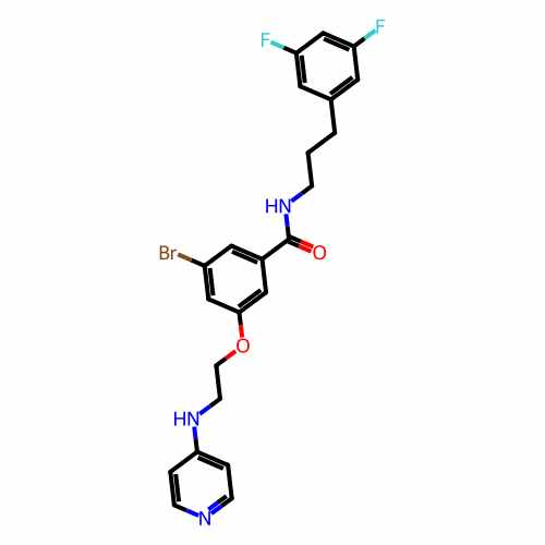 O=C(NCCCc1cc(F)cc(F)c1)c1cc(Br)cc(OCCNc2ccncc2)c1